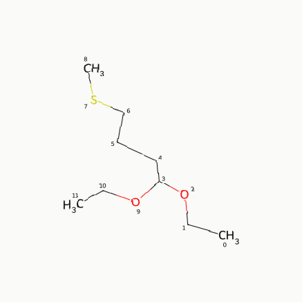 CCOC(CCCSC)OCC